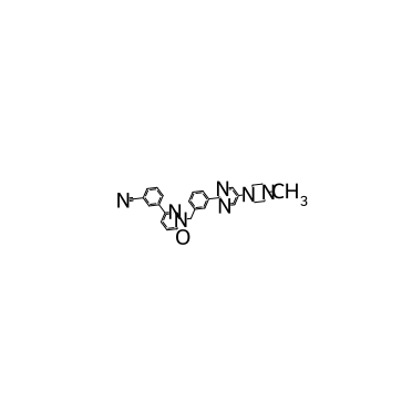 CN1CCN(c2cnc(-c3cccc(Cn4nc(-c5cccc(C#N)c5)ccc4=O)c3)nc2)CC1